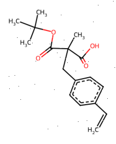 C=Cc1ccc(CC(C)(C(=O)O)C(=O)OC(C)(C)C)cc1